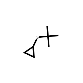 CC(C)(C)SC1CC1